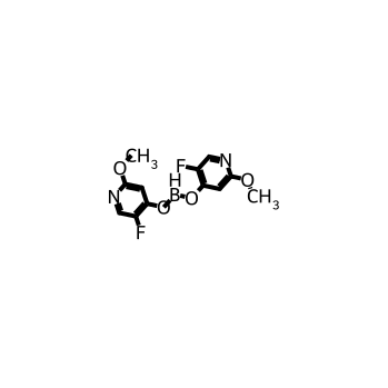 COc1cc(OBOc2cc(OC)ncc2F)c(F)cn1